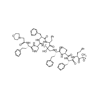 CC(C)CC[C@H](NC(=O)[C@H](Cc1ccccc1)NC(=O)[C@H](CC(C)C)NC(=O)[C@H](CCc1ccccc1)NCC(C)(O)C(=O)C(CC(C)C)NC(=O)[C@H](Cc1ccccc1)NC(=O)C(CC(C)C)NC(=O)[C@H](CCc1ccccc1)NC(=O)CN1CCOCC1)C(=O)[C@@]1(C)CO1